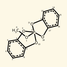 COP12(Oc3ccccc3O1)Oc1ccccc1O2